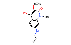 C=CCNc1ccc2c(O)c(OCCCCCCCC)c(=O)n(CCCC)c2c1